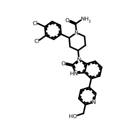 NC(=O)N1CCC(n2c(=O)[nH]c3c(-c4ccc(CO)nc4)cccc32)CC1c1ccc(Cl)c(Cl)c1